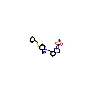 CC(C)(C)OC(=O)N1CCc2cccc(Cn3ncc4cc(SCc5ccccc5)c(F)cc43)c2C1